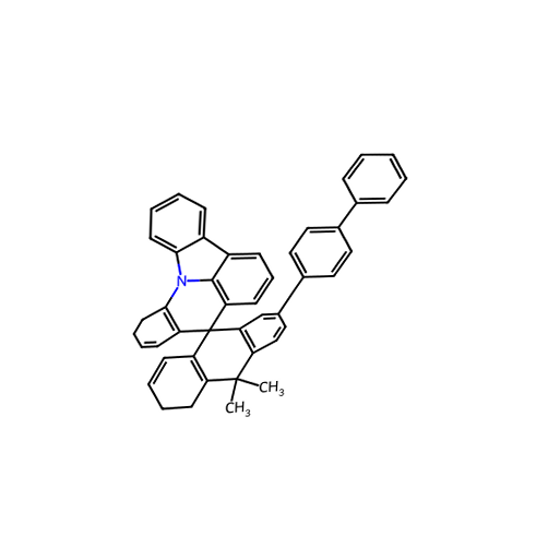 CC1(C)C2=C(C=CCC2)C2(C3=C(CCC=C3)n3c4ccccc4c4cccc2c43)c2cc(-c3ccc(-c4ccccc4)cc3)ccc21